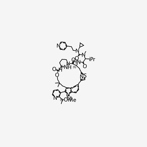 CCn1c(-c2cccnc2[C@H](C)OC)c2c3cc(ccc31)-c1csc(n1)C[C@H](NC(=O)C(C(C)C)N(C)C(=O)N(CCc1ccncc1)C1CC1)C(=O)N1CCC[C@H](N1)C(=O)OCC(C)(C)C2